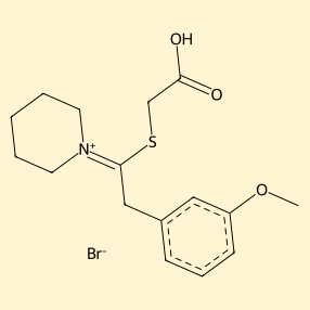 COc1cccc(CC(SCC(=O)O)=[N+]2CCCCC2)c1.[Br-]